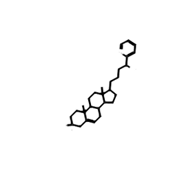 CC[C@]1(O)CCC2(C)C(=CCC3C2CCC2(C)C(CCCC(O)c4ccccn4)CCC32)C1